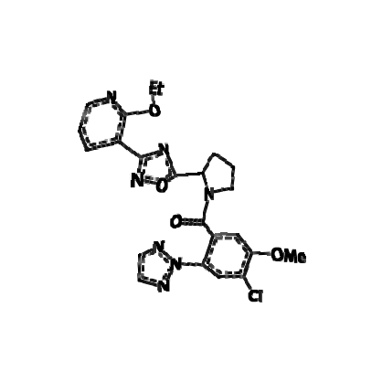 CCOc1ncccc1-c1noc(C2CCCN2C(=O)c2cc(OC)c(Cl)cc2-n2nccn2)n1